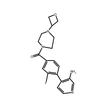 Nc1cnccc1-c1ccc(C(=O)N2CCN(C3COC3)CC2)cc1F